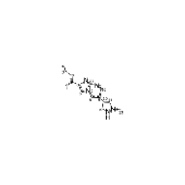 C=C(CCC)c1cn2cc(C3=CN(C)NC3)cnc2n1